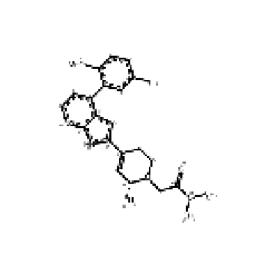 COc1ccc(F)cc1-c1ccnc2[nH]c(C3=C[C@@H](C)N(CC(=O)N(C)C)CC3)cc12